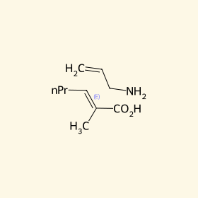 C=CCN.CCC/C=C(\C)C(=O)O